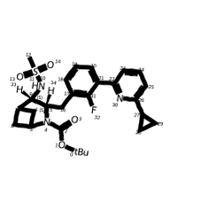 CC(C)(C)OC(=O)N1C2CC(C2)[C@H](NS(C)(=O)=O)[C@@H]1Cc1cccc(-c2cccc(C3CC3)n2)c1F